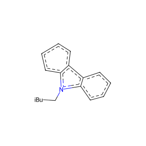 CCC(C)Cn1c2ccccc2c2ccccc21